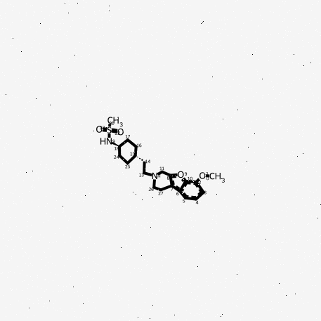 COc1cccc2c3c(oc12)CN(CC[C@H]1CC[C@H](NS(C)(=O)=O)CC1)CC3